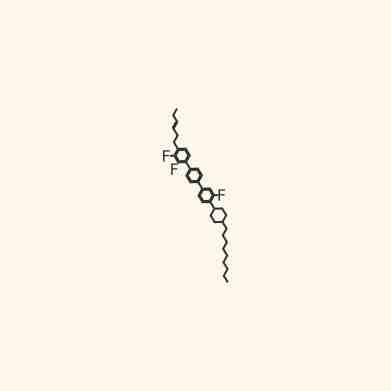 CC/C=C/CCc1ccc(-c2ccc(-c3ccc(C4CCC(CCCCCCCCC)CC4)c(F)c3)cc2)c(F)c1F